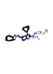 CN(CC(=O)O)c1cc(-c2ccccc2)c2cc(CCN3Cc4ccccc4C3)ccc2n1